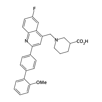 COc1ccccc1-c1ccc(-c2cc(CN3CCCC(C(=O)O)C3)c3cc(F)ccc3n2)cc1